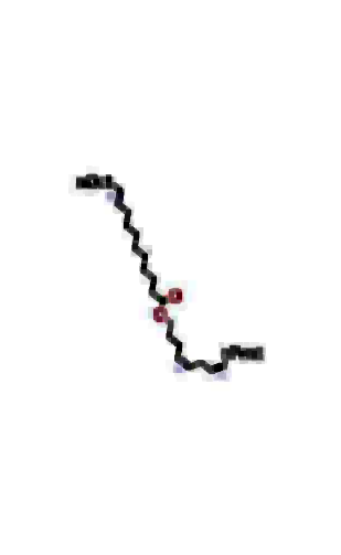 CCCCC/C=C\C/C=C\CCCOC(=O)CCCCCCCC/C=C/CCCCCCCC